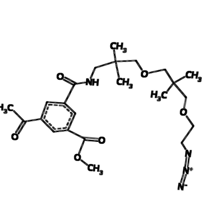 COC(=O)c1cc(C(C)=O)cc(C(=O)NCC(C)(C)COCC(C)(C)COCCN=[N+]=[N-])c1